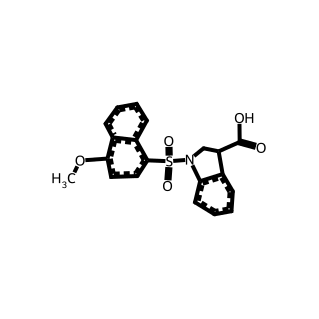 COc1ccc(S(=O)(=O)N2CC(C(=O)O)c3ccccc32)c2ccccc12